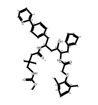 COC(=O)NCC(C)(C)CC(=O)NC(Cc1ccc(-c2ccccn2)cc1)CC(O)C(Cc1ccccc1)NC(=O)COc1c(C)cccc1C